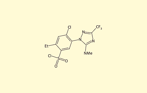 CCc1cc(Cl)c(-n2nc(C(F)(F)F)nc2NC)cc1S(=O)(=O)Cl